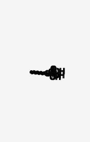 CCCCCCCCCCOC[C@H]1OC(OC)[C@H](O)[C@@H](O)[C@@H]1O